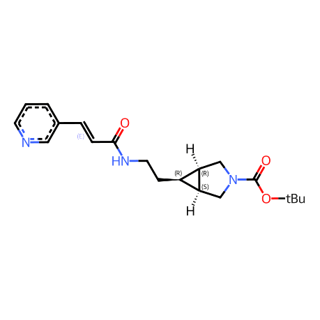 CC(C)(C)OC(=O)N1C[C@@H]2[C@H](CCNC(=O)/C=C/c3cccnc3)[C@@H]2C1